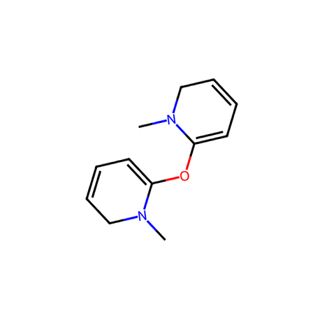 CN1CC=CC=C1OC1=CC=CCN1C